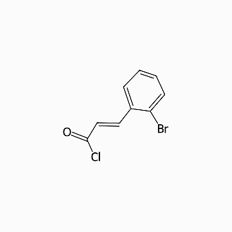 O=C(Cl)C=Cc1ccccc1Br